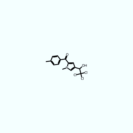 Cc1ccc(C(=O)c2cc(C(O)C(Cl)(Cl)Cl)cn2C)cc1